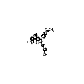 C#C[C@@H]1CCN(C2CN(c3nc(N4CCC5(CC4)CN(C(=O)C=C)C5)c4cc(C5CC5)c(-c5c(C)ccc6[nH]ncc56)c(OCC)c4n3)C2)C1